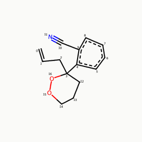 C=CCC1(c2ccccc2C#N)CCCOO1